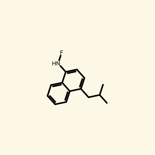 CC(C)Cc1ccc(NF)c2ccccc12